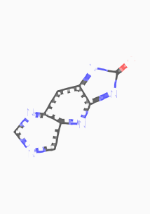 O=C1N=c2cc3ncncc3nc2=N1